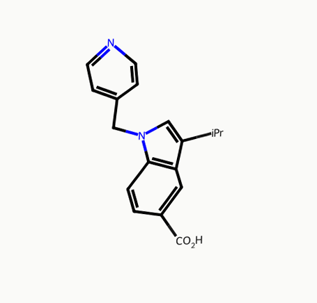 CC(C)c1cn(Cc2ccncc2)c2ccc(C(=O)O)cc12